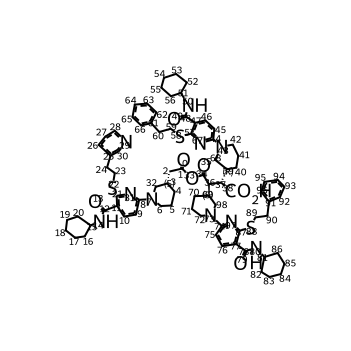 O=C(C[C@@H]1CCCN(c2ccc(C(=O)NC3CCCCC3)c(SCCc3cccnc3)n2)C1)OC(=O)C(C(C(=O)O)[C@H]1CCCN(c2ccc(C(=O)NC3CCCCC3)c(SCCc3ccccc3)n2)C1)[C@@H]1CCCN(c2ccc(C(=O)NC3CCCCC3)c(SCCc3ccccc3)n2)C1